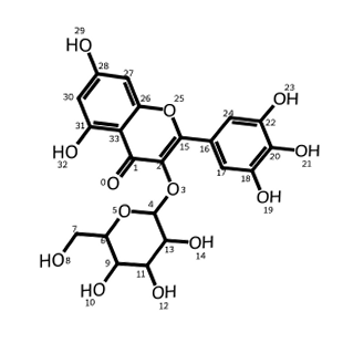 O=c1c(OC2OC(CO)C(O)C(O)C2O)c(-c2cc(O)c(O)c(O)c2)oc2cc(O)cc(O)c12